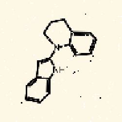 c1ccc2c(c1)CCCN2c1cc2ccccc2[nH]1